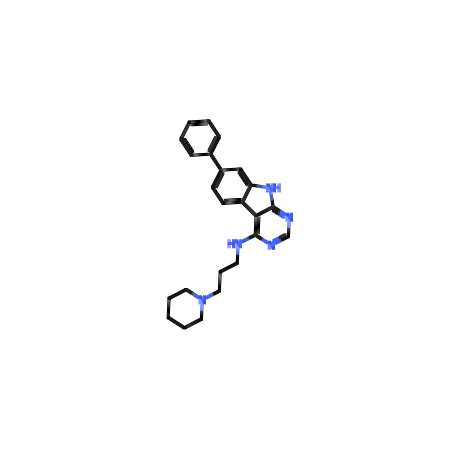 c1ccc(-c2ccc3c(c2)[nH]c2ncnc(NCCCN4CCCCC4)c23)cc1